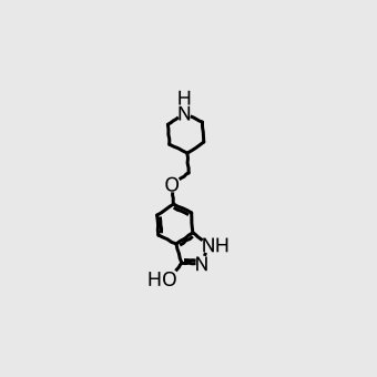 Oc1n[nH]c2cc(OCC3CCNCC3)ccc12